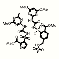 COC(=O)c1ccc(CNS(C)(=O)=O)cc1S(=O)(=O)NC(=O)Nc1nc(OC)cc(OC)n1.COC(=O)c1sccc1S(=O)(=O)NC(=O)Nc1nc(C)nc(OC)n1